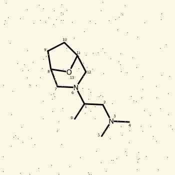 CC(CN(C)C)N1CC2CCC(C1)O2